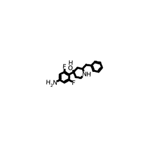 Nc1cc(F)c(C2(O)CCNC(Cc3ccccc3)C2)c(F)c1